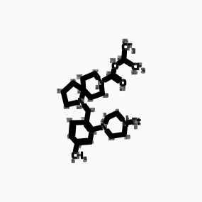 CCN1CCN(c2cc(C)ccc2CN2CCCC23CCN(C(=O)OC(C(F)(F)F)C(F)(F)F)CC3)CC1